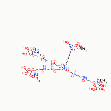 COP(=O)(O)OCC1CC(O)CN1C(=O)CCCCCCCCCCC(=O)NC(COCCC(=O)NCCCNC(=O)CCCCOC1OC(CO)C(O)C(O)C1NC(C)=O)(COCCC(=O)NCCCNC(=O)CCCCOC1OC(CO)C(O)C(O)C1NC(C)=O)COCCC(=O)NCCCNC(=O)CCCCOC1OC(CO)C(O)C(O)C1NC(C)=O